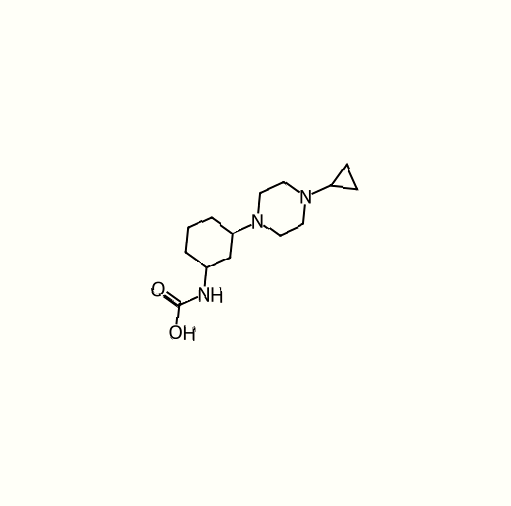 O=C(O)NC1CCCC(N2CCN(C3CC3)CC2)C1